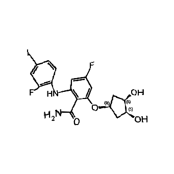 NC(=O)c1c(Nc2ccc(I)cc2F)cc(F)cc1O[C@H]1C[C@@H](O)[C@@H](O)C1